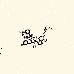 CCCCCN1CCc2c(C(=O)N[C@@H](Cc3cc(F)cc(F)c3)[C@@H](O)CNC3(c4cccc(C(F)(F)F)c4)CC3)cccc2C1=O